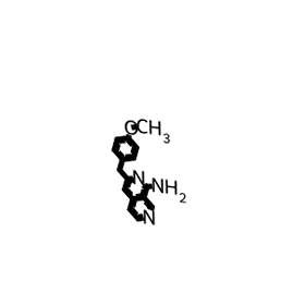 COc1ccc(Cc2cc3ccncc3c(N)n2)cc1